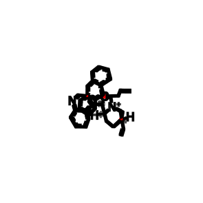 C=CCO[C@H](c1ccnc2ccccc12)[C@H]1CC2CC[N+]1(Cc1c3ccccc3cc3ccccc13)C[C@@H]2C=C